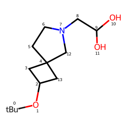 CC(C)(C)OC1CC2(CCN(CC(O)O)C2)C1